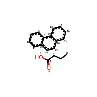 CCCC(=O)O.c1ccc2c(c1)ccc1ccccc12